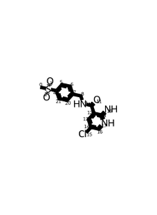 CS(=O)(=O)c1ccc(CNC(=O)c2cc(Cl)c[nH]c2=N)cc1